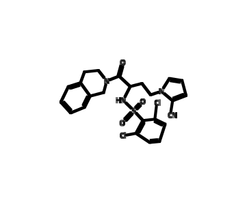 N#Cc1cccn1CCC(NS(=O)(=O)c1c(Cl)cccc1Cl)C(=O)N1CCc2ccccc2C1